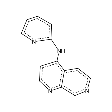 c1ccc(Nc2ccnc3cnccc23)nc1